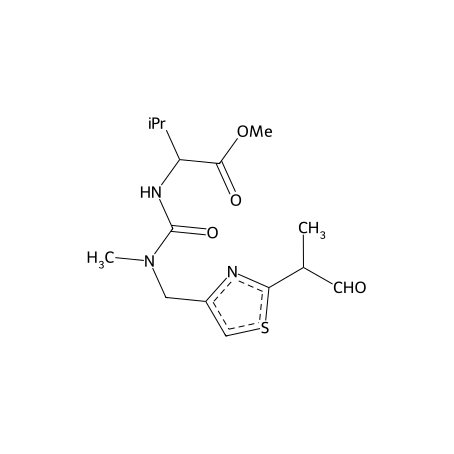 COC(=O)C(NC(=O)N(C)Cc1csc(C(C)C=O)n1)C(C)C